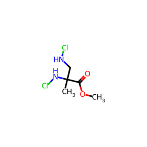 COC(=O)C(C)(CNCl)NCl